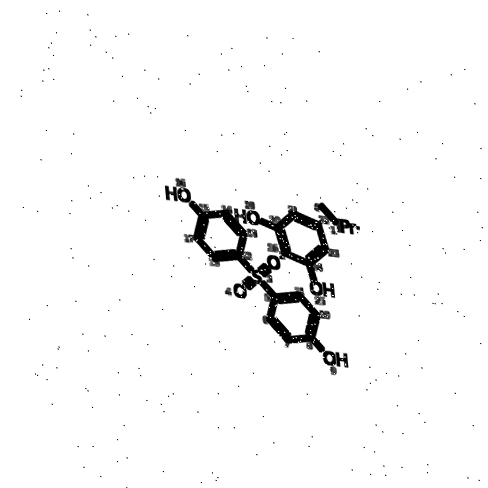 C[C](C)C.O=S(=O)(c1ccc(O)cc1)c1ccc(O)cc1.Oc1cccc(O)c1